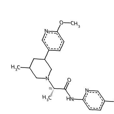 COc1ccc(C2CC(C)CN([C@@H](C)C(=O)Nc3ccc(Cl)cn3)C2)cn1